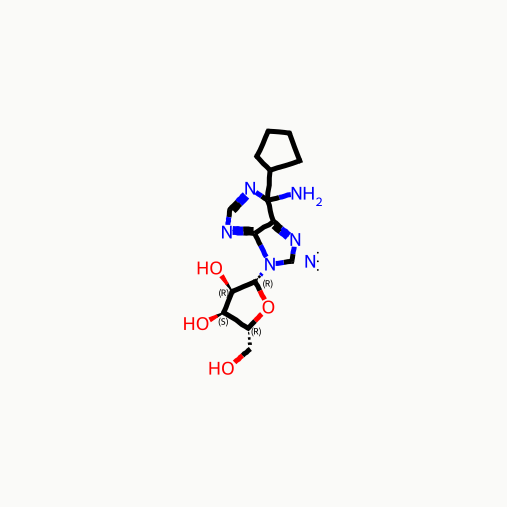 NC1(C2CCCC2)N=CN=C2C1=NCN2[C@@H]1O[C@H](CO)[C@@H](O)[C@H]1O.[N]